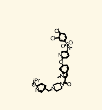 CC(C)Oc1ccc(CN2CCN(C(=O)c3cc4ccc(Oc5ccc(N(C)S(=O)(=O)c6ccc(Cl)c(Cl)c6)cn5)cc4n3C)CC2)cn1